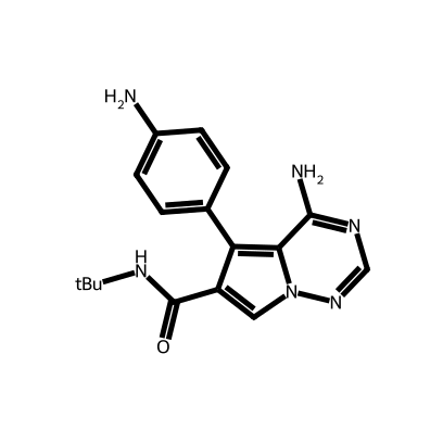 CC(C)(C)NC(=O)c1cn2ncnc(N)c2c1-c1ccc(N)cc1